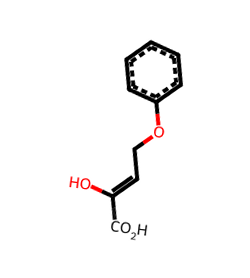 O=C(O)C(O)=CCOc1ccccc1